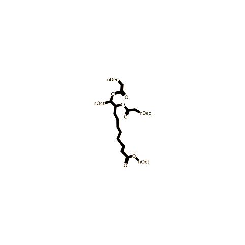 CCCCCCCCCCCC(=O)OC(CCCCCCCC)C(CCCCCCCC(=O)OCCCCCCCC)OC(=O)CCCCCCCCCCC